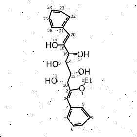 CCOC(=Cc1ccccc1)[C@H](O)[C@@H](O)[C@H](O)[C@H](O)C(O)=Cc1ccccc1